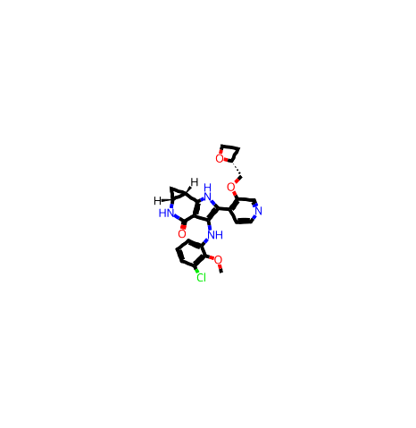 COc1c(Cl)cccc1Nc1c(-c2ccncc2OC[C@H]2CCO2)[nH]c2c1C(=O)N[C@@H]1C[C@H]21